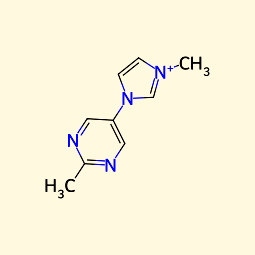 Cc1ncc(-n2cc[n+](C)c2)cn1